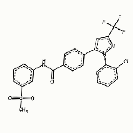 CS(=O)(=O)c1cccc(NC(=O)c2ccc(-c3cc(C(F)(F)F)nn3-c3ccccc3Cl)cc2)c1